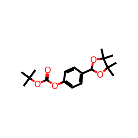 CC(C)(C)OC(=O)Oc1ccc(C2OC(C)(C)C(C)(C)O2)cc1